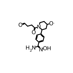 N/C(=N/O)c1ccc(C2CC([O])CCN2C(=O)CCC=O)cc1